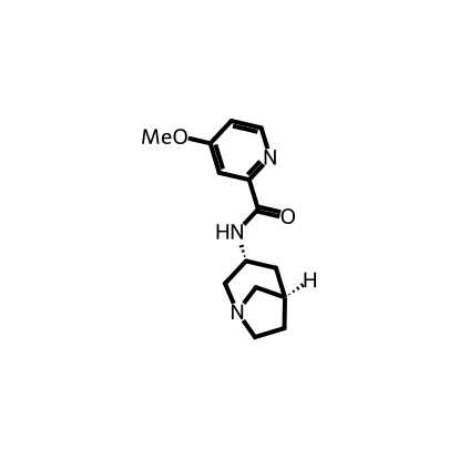 COc1ccnc(C(=O)N[C@@H]2C[C@H]3CCN(C3)C2)c1